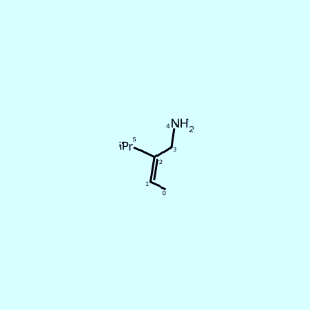 C/C=C(\CN)C(C)C